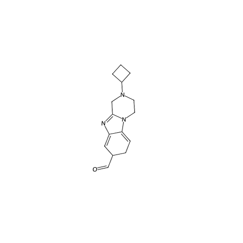 O=CC1C=c2nc3n(c2=CC1)CCN(C1CCC1)C3